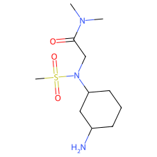 CN(C)C(=O)CN(C1CCCC(N)C1)S(C)(=O)=O